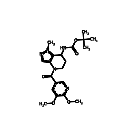 COc1cc(C(=O)N2CCC(NC(=O)OC(C)(C)C)c3c2cnn3C)cnc1OC